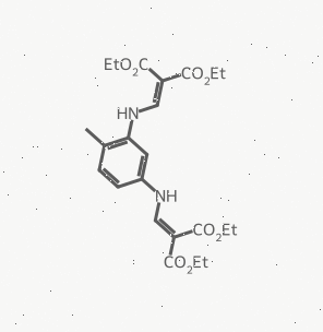 CCOC(=O)C(=CNc1ccc(C)c(NC=C(C(=O)OCC)C(=O)OCC)c1)C(=O)OCC